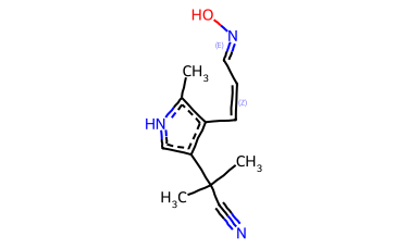 Cc1[nH]cc(C(C)(C)C#N)c1/C=C\C=N\O